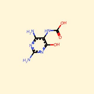 Nc1nc(N)c(NC(=O)O)c(O)n1